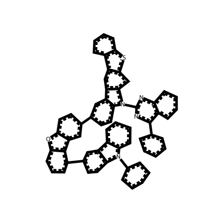 c1ccc(-c2nc(-n3c4ccc(-c5ccc6oc7cccc(-c8ccc9c(c8)c8ccccc8n9-c8ccccc8)c7c6c5)cc4c4cc5c(cc43)sc3ccccc35)nc3ccccc23)cc1